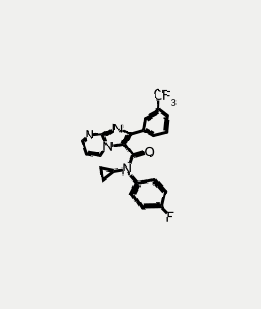 O=C(c1c(-c2cccc(C(F)(F)F)c2)nc2ncccn12)N(c1ccc(F)cc1)C1CC1